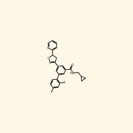 Cc1ccc(-c2cc(C(=O)NCC3CC3)cc(C3=NOC(c4ccccn4)C3)c2)c(F)c1